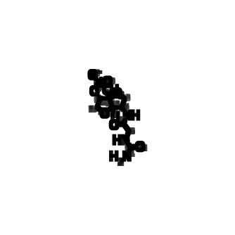 C[C@]12OC[C@@H](NC(=O)CNC(N)=O)[C@H]1OC[C@@H]2O[N+](=O)[O-]